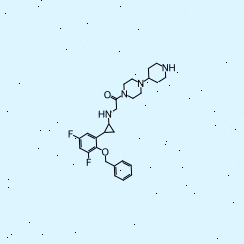 O=C(CNC1CC1c1cc(F)cc(F)c1OCc1ccccc1)N1CCN(C2CCNCC2)CC1